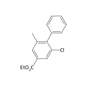 CCOC(=O)c1cc(C)c(-c2ccccc2)c(Cl)c1